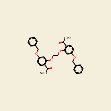 COC(=O)c1ccc(OCc2ccccc2)cc1OCCOc1cc(OCc2ccccc2)ccc1C(=O)OC